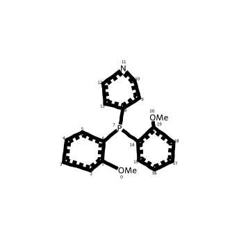 COc1ccccc1P(c1ccncc1)c1ccccc1OC